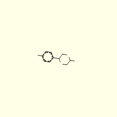 CC1CNC(c2ccc(F)cc2)CO1